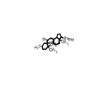 CCCCCC1CCC2C(C[C@H](CC)C3(N)C[C@H](C)CCC3(C)C)CCCC12C